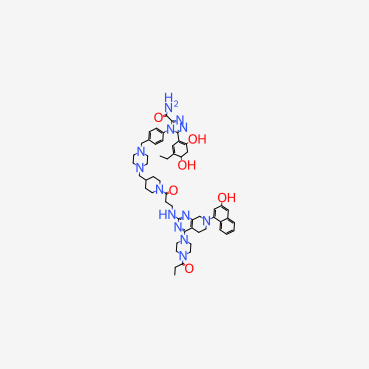 CCC(=O)N1CCN(c2nc(NCCC(=O)N3CCC(CN4CCN(Cc5ccc(-n6c(C(N)=O)nnc6C6=C(O)CC(O)C(CC)=C6)cc5)CC4)CC3)nc3c2CCN(c2cc(O)cc4ccccc24)C3)CC1